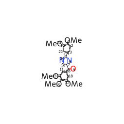 COc1ccc(C2=NC(C(=O)c3cc(OC)c(OC)c(OC)c3)C=N2)cc1OC